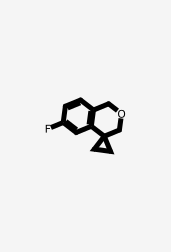 Fc1ccc2c(c1)C1(CC1)COC2